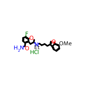 CCN(CCCCc1coc2c(OC)cccc12)C1COc2c(F)ccc(C(N)=O)c2C1.Cl